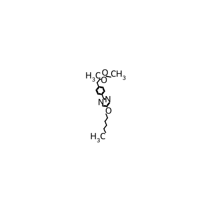 CCCCCCCOc1cnc(-c2ccc(CC(C)OC(=O)CC)cc2)nc1